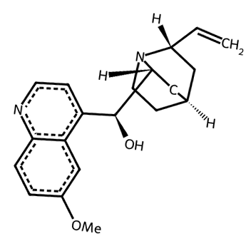 C=C[C@@H]1C[C@H]2CCN1[C@@H]([C@@H](O)c1ccnc3ccc(OC)cc13)C2